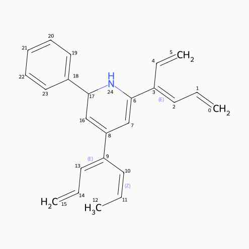 C=C/C=C(\C=C)C1=CC(C(/C=C\C)=C/C=C)=CC(c2ccccc2)N1